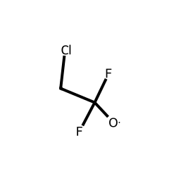 [O]C(F)(F)CCl